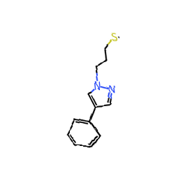 [S]CCCn1cc(-c2ccccc2)cn1